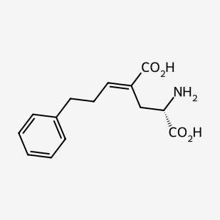 N[C@@H](CC(=CCCc1ccccc1)C(=O)O)C(=O)O